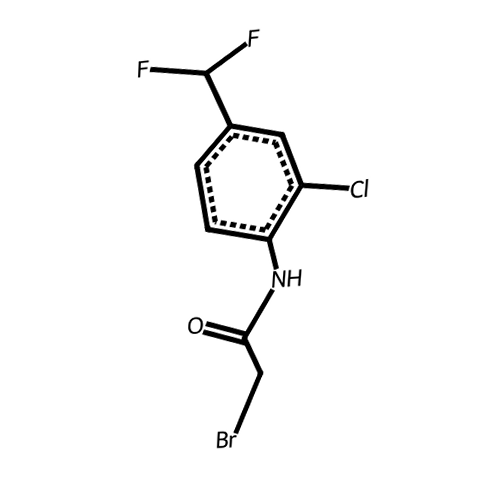 O=C(CBr)Nc1ccc(C(F)F)cc1Cl